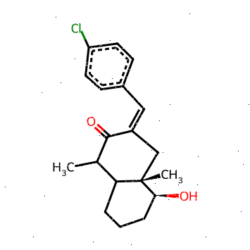 CC1C(=O)/C(=C\c2ccc(Cl)cc2)C[C@@]2(C)C1CCC[C@@H]2O